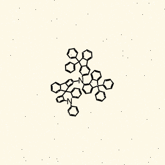 c1ccc(N2c3ccccc3C3(c4ccccc4-c4ccc(N(c5ccc6c(c5)C(c5ccccc5)(c5ccccc5)c5ccccc5-6)c5cccc6c5-c5ccccc5C6(c5ccccc5)c5ccccc5)cc43)c3ccccc32)cc1